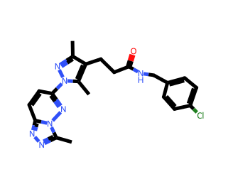 Cc1nn(-c2ccc3nnc(C)n3n2)c(C)c1CCC(=O)NCc1ccc(Cl)cc1